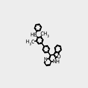 Cc1cc(-c2ccc(C3=C4N=CC=CC4Nc4oc5ccccc5c43)cc2)cc(C)c1Bc1ccccc1